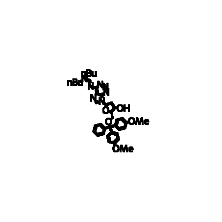 CCCCN(C=Nc1nnnc2c1ncn2[C@H]1CC(O)[C@@H](COC(c2ccccc2)(c2ccc(OC)cc2)c2ccc(OC)cc2)O1)CCCC